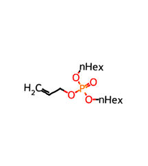 C=CCOP(=O)(OCCCCCC)OCCCCCC